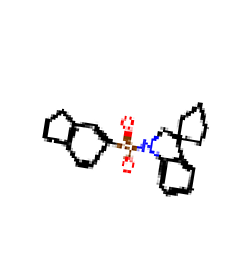 O=S(=O)(c1ccc2c(c1)CCC2)N1CC2(CCCC2)c2ccccc21